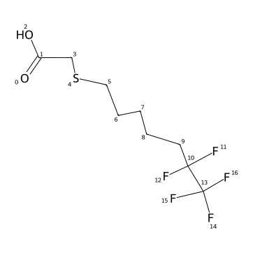 O=C(O)CSCCCCCC(F)(F)C(F)(F)F